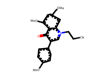 COc1ccc(-c2cn(CCC#N)c3cc(OC)cc(OC)c3c2=O)cc1